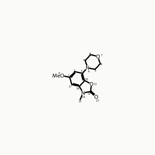 COc1cc(N2CCOCC2)c2oc(=O)n(C)c2c1